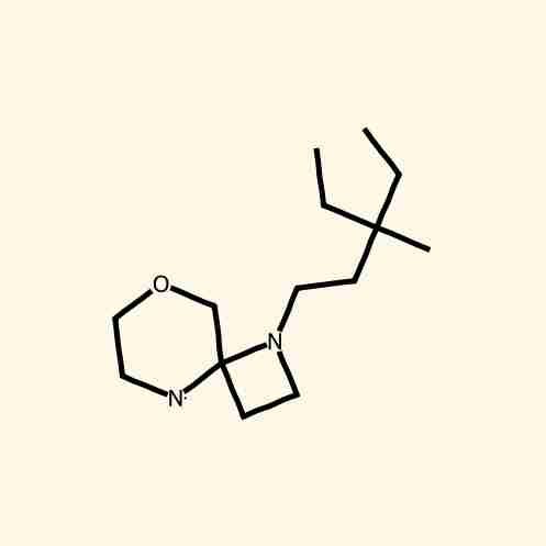 CCC(C)(CC)CCN1CCC12COCC[N]2